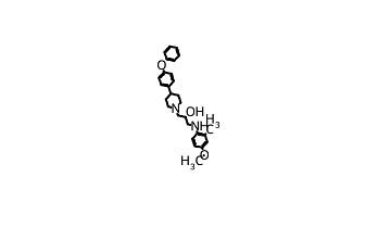 COc1ccc(NC[C@H](O)CN2CCC(c3ccc(Oc4ccccc4)cc3)CC2)c(C)c1